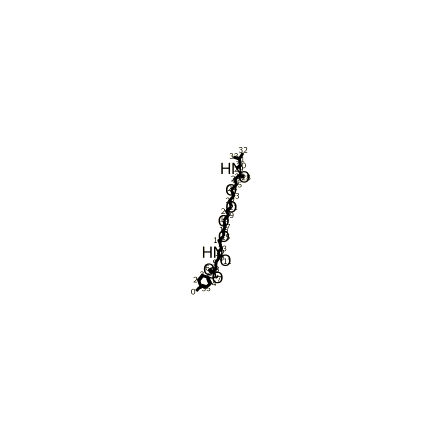 Cc1ccc(S(=O)(=O)CCC(=O)NCCOCCOCCOCCOCCC(=O)NCC(C)C)cc1